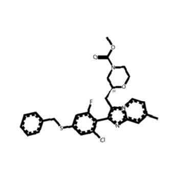 COC(=O)N1CCO[C@@H](Cc2c(-c3c(F)cc(SCc4ccccc4)cc3Cl)nc3cc(C)ccn23)C1